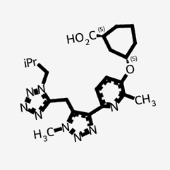 Cc1nc(-c2nnn(C)c2Cc2nnnn2CC(C)C)ccc1O[C@H]1CCC[C@H](C(=O)O)C1